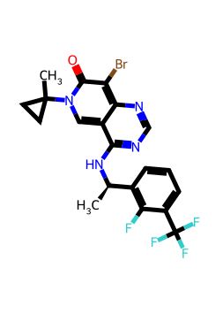 C[C@@H](Nc1ncnc2c(Br)c(=O)n(C3(C)CC3)cc12)c1cccc(C(F)(F)F)c1F